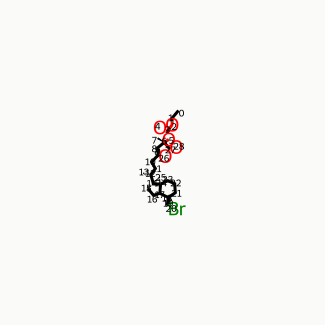 CCOC(=O)O[C@@]1(C)C=C(CC[C@@H](C)[C@H]2CCC3C(=CBr)CCC[C@@]32C)OC1=O